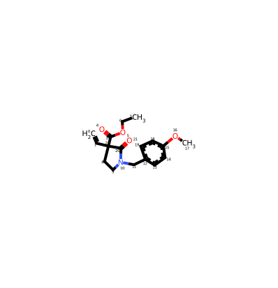 C=CC1(C(=O)OCC)CCN(Cc2ccc(OC)cc2)C1=O